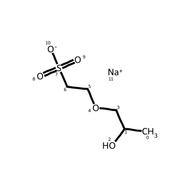 CC(O)COCCS(=O)(=O)[O-].[Na+]